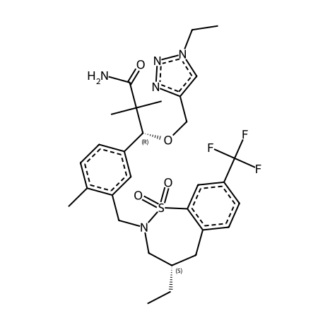 CC[C@H]1Cc2ccc(C(F)(F)F)cc2S(=O)(=O)N(Cc2cc([C@@H](OCc3cn(CC)nn3)C(C)(C)C(N)=O)ccc2C)C1